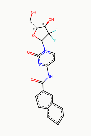 O=C(Nc1ccn(C2O[C@H](CO)[C@@H](O)C2(F)F)c(=O)n1)c1ccc2ccccc2c1